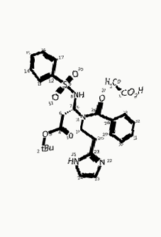 CC(=O)O.CC(C)(C)OC(=O)C[C@H](NS(=O)(=O)c1ccccc1)N(CCc1ncc[nH]1)C(=O)c1ccccc1